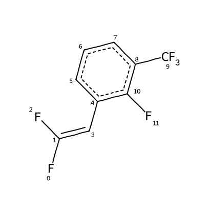 FC(F)=Cc1cccc(C(F)(F)F)c1F